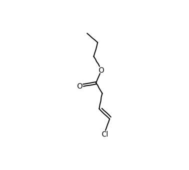 CCCOC(=O)CC=CCl